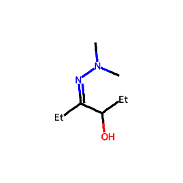 CCC(=NN(C)C)C(O)CC